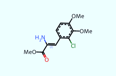 COC(=O)/C(N)=C/c1ccc(OC)c(OC)c1Cl